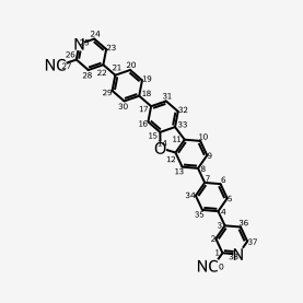 N#Cc1cc(-c2ccc(-c3ccc4c(c3)oc3cc(-c5ccc(-c6ccnc(C#N)c6)cc5)ccc34)cc2)ccn1